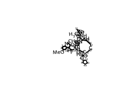 COc1ccc2nc(C)c3c(c2c1)C(F)(F)C[C@]1(C[C@H]2C(=O)N[C@]4(C(=O)NS(=O)(=O)C5(C)CC5)C[C@H]4/C=C\CCCCC[C@H](NC(=O)OC4CCCC4)C(=O)N2C1)O3